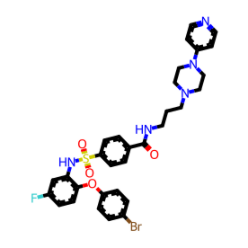 O=C(NCCCN1CCN(c2ccncc2)CC1)c1ccc(S(=O)(=O)Nc2cc(F)ccc2Oc2ccc(Br)cc2)cc1